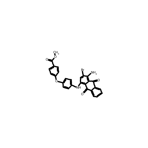 COC(=O)c1ccc(Oc2ccc(Nc3cc(Br)c(N)c4c3C(=O)c3ccccc3C4=O)cc2)cc1